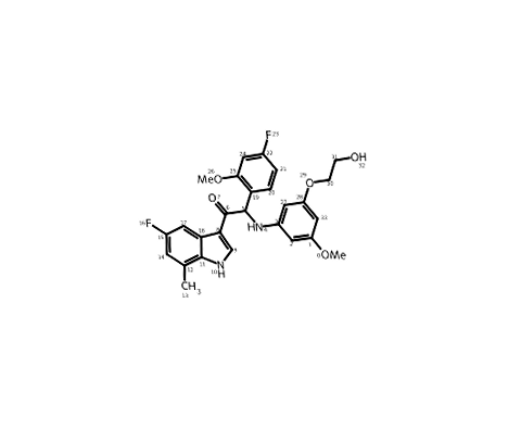 COc1cc(NC(C(=O)c2c[nH]c3c(C)cc(F)cc23)c2ccc(F)cc2OC)cc(OCCO)c1